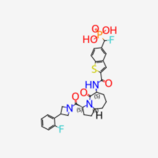 O=C(N[C@H]1CCC[C@H]2CC[C@@H](C(=O)N3CC(c4ccccc4F)C3)N2C1=O)c1cc2cc(C(F)P(=O)(O)O)ccc2s1